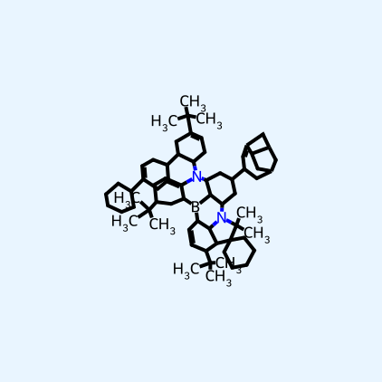 CC(C)(C)C1=CCC(N2C3=CCC(C(C)(C)C)CC3B3C4C=CC(C(C)(C)C)C5C4N(C4CC(C6C=C7CC8CC(C6)CC78)CC2C34)C(C)(C)C52CCCCC2)C(C2CC=C(C3CCCCC3)CC2)C1